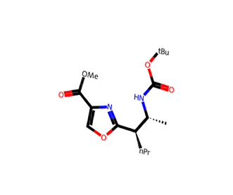 CCC[C@@H](c1nc(C(=O)OC)co1)[C@@H](C)NC(=O)OC(C)(C)C